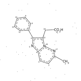 Cc1ccc2nc(-c3ccccc3)c(CC(=O)O)n2n1